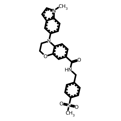 Cn1ccc2cc(N3CCOc4cc(C(=O)NCc5ccc(S(C)(=O)=O)cc5)ccc43)ccc21